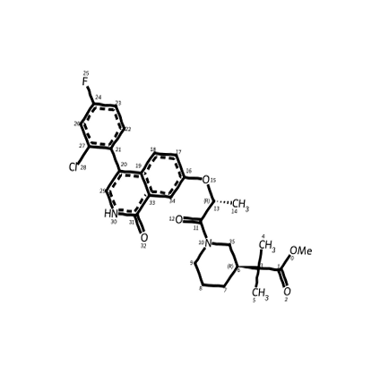 COC(=O)C(C)(C)[C@H]1CCCN(C(=O)[C@@H](C)Oc2ccc3c(-c4ccc(F)cc4Cl)c[nH]c(=O)c3c2)C1